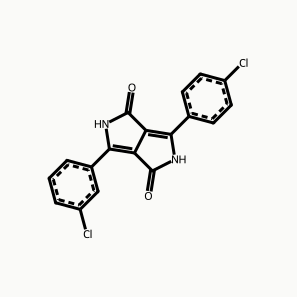 O=C1NC(c2cccc(Cl)c2)=C2C(=O)NC(c3ccc(Cl)cc3)=C12